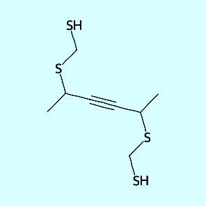 CC(C#CC(C)SCS)SCS